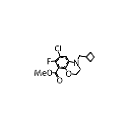 COC(=O)c1c(F)c(Cl)cc2c1OCCN2CC1CCC1